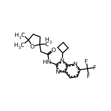 CC1(C)CCC(C)(CC(=O)Nc2nc3ccc(C(F)(F)F)nc3n2C2CCC2)O1